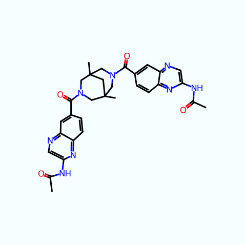 CC(=O)Nc1cnc2cc(C(=O)N3CC4(C)CN(C(=O)c5ccc6nc(NC(C)=O)cnc6c5)CC(C)(C3)C4)ccc2n1